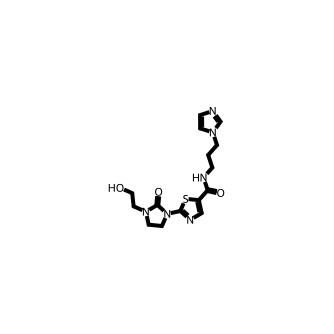 O=C(NCCCn1ccnc1)c1cnc(N2CCN(CCO)C2=O)s1